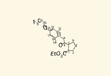 CCOC(=O)C1CCCC1C(=O)Cc1c(C)cc(OCC(F)(F)F)cc1C